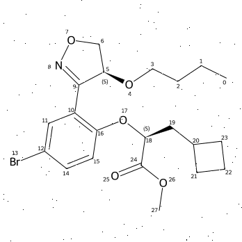 CCCCO[C@@H]1CON=C1c1cc(Br)ccc1O[C@@H](CC1CCC1)C(=O)OC